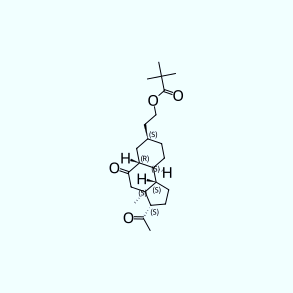 CC(=O)[C@H]1CC[C@H]2[C@@H]3CC[C@H](CCOC(=O)C(C)(C)C)C[C@H]3C(=O)C[C@]12C